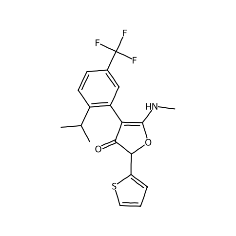 CNC1=C(c2cc(C(F)(F)F)ccc2C(C)C)C(=O)C(c2cccs2)O1